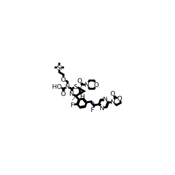 C[C@]1(c2cc(/C=C(\F)c3cnc(N4CCOC4=O)cn3)ccc2F)N=C(N(COCC[Si](C)(C)C)C(=O)O)S[C@@]2(C(=O)N3CCOCC3)C[C@H]21